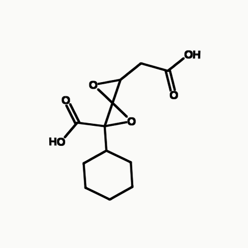 O=C(O)CC1OC12OC2(C(=O)O)C1CCCCC1